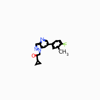 Cc1cc(-c2cnc3cnn(CC(=O)C4CC4)c3c2)ccc1F